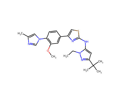 CCn1nc(C(C)(C)C)cc1Nc1nc(-c2ccc(-n3cnc(C)c3)c(OC)c2)cs1